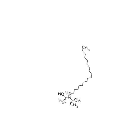 CCCCCCCC/C=C\CCCCCCCCNN(C(C)O)C(C)O